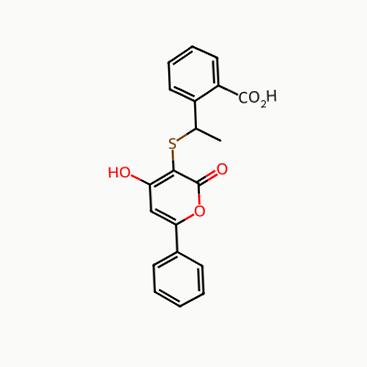 CC(Sc1c(O)cc(-c2ccccc2)oc1=O)c1ccccc1C(=O)O